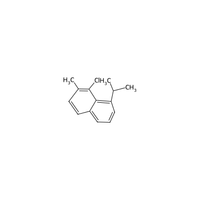 Cc1ccc2cccc(C(C)C)c2c1Cl